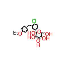 CCOc1ccc(Cc2cc(C3(O)O[C@H](CO)[C@@H](O)[C@H](O)[C@H]3O)ccc2Cl)cc1